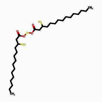 CCCCCCCCCCCCC(S)CC(=O)OSOC(=O)CC(S)CCCCCCCCCCCC